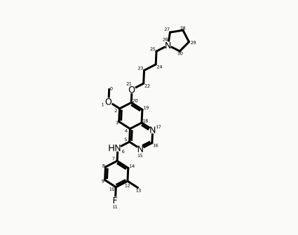 COc1cc2c(Nc3ccc(F)c(C)c3)ncnc2cc1OCCCCN1CCCC1